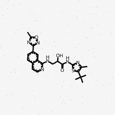 Cc1nc(-c2ccc3ccnc(NCC(O)C(=O)Nc4nc(C)c(C(C)(C)C)s4)c3c2)no1